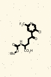 CC(C)(C)OC(=O)NC(CCC(=O)c1cc(C(F)(F)F)ncc1Cl)C(=O)O